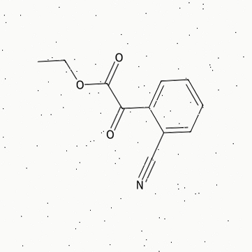 CCOC(=O)C(=O)c1ccccc1C#N